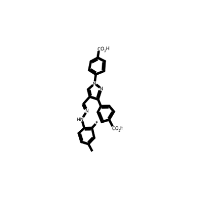 Cc1ccc(N/N=C/c2cn(-c3ccc(C(=O)O)cc3)nc2-c2ccc(C(=O)O)cc2)c(F)c1